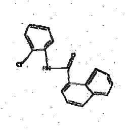 O=C(Nc1ccccc1Cl)c1cccc2ccccc12